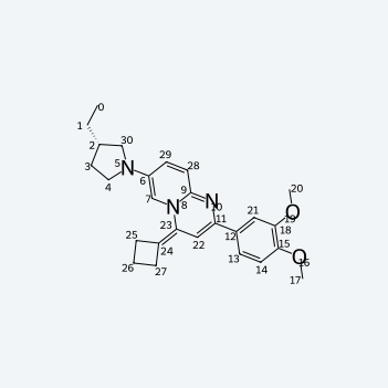 CC[C@H]1CCN(C2=CN3C(=NC(c4ccc(OC)c(OC)c4)=CC3=C3CCC3)C=C2)C1